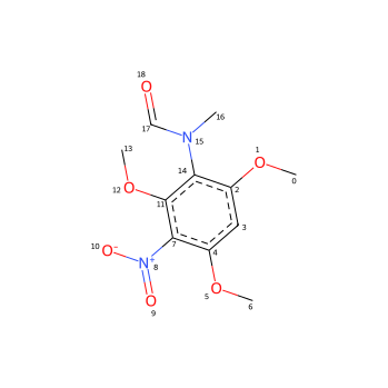 COc1cc(OC)c([N+](=O)[O-])c(OC)c1N(C)C=O